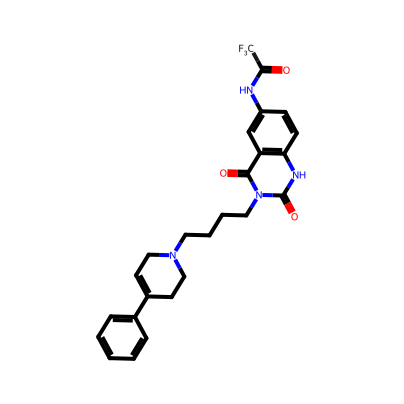 O=C(Nc1ccc2[nH]c(=O)n(CCCCN3CC=C(c4ccccc4)CC3)c(=O)c2c1)C(F)(F)F